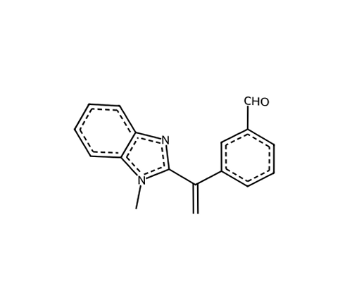 C=C(c1cccc(C=O)c1)c1nc2ccccc2n1C